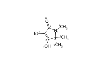 CCC1=C(O)C(C)(C)N(C)C1=O